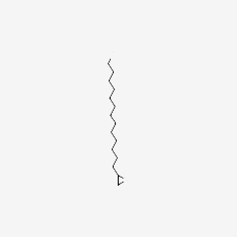 CCCCCCCCCCCCCCC1CS1